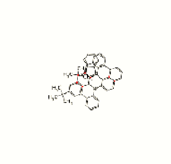 CC(C)(C)c1cc(-c2ccccc2N(c2ccccc2-c2cccc3cccc(-c4ccccc4)c23)c2cccc3c2sc2ccccc23)cc(C(C)(C)C)c1